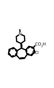 CN1CCC(=C2c3ccccc3C=Cc3ccc(C(=O)O)cc32)CC1.Cl